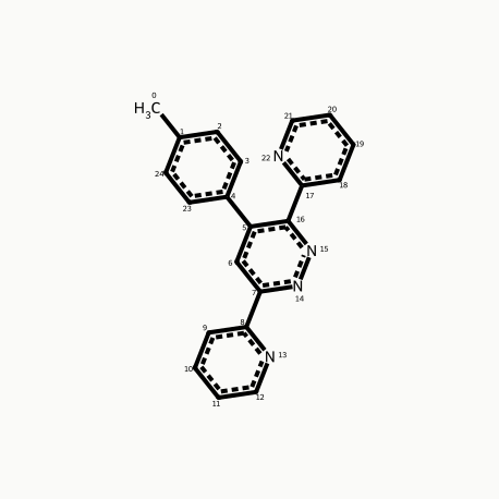 Cc1ccc(-c2cc(-c3ccccn3)nnc2-c2ccccn2)cc1